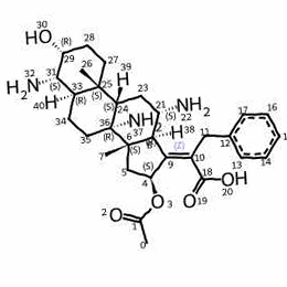 CC(=O)O[C@H]1C[C@@]2(C)[C@H](/C1=C(\Cc1ccccc1)C(=O)O)[C@@H](N)C[C@H]1[C@@]3(C)CC[C@@H](O)[C@@H](N)[C@@H]3CC[C@@]12N